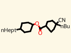 CCCCCCCC1CCC(OC(=O)C2CCC(C#N)(CCCC)CC2)CC1